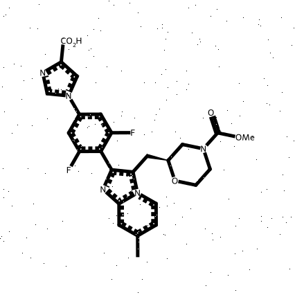 COC(=O)N1CCO[C@@H](Cc2c(-c3c(F)cc(-n4cnc(C(=O)O)c4)cc3F)nc3cc(C)ccn23)C1